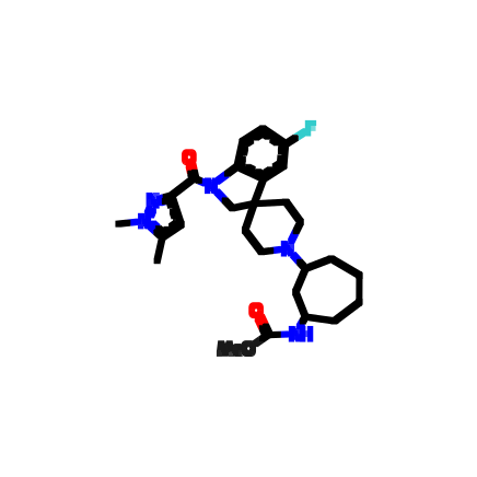 COC(=O)NC1CCCCC(N2CCC3(CC2)CN(C(=O)c2cc(C)n(C)n2)c2ccc(F)cc23)C1